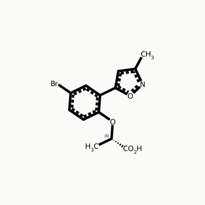 Cc1cc(-c2cc(Br)ccc2O[C@@H](C)C(=O)O)on1